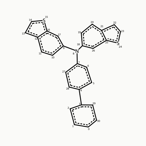 c1ccc(-c2ccc(N(c3ccc4ccsc4c3)c3ccc4ccsc4c3)cc2)cc1